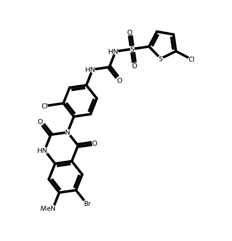 CNc1cc2[nH]c(=O)n(-c3ccc(NC(=O)NS(=O)(=O)c4ccc(Cl)s4)cc3Cl)c(=O)c2cc1Br